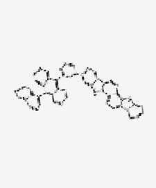 c1cc(-c2ccc3c(c2)sc2c3ccc3c2ccc2c4ccccc4sc23)cc(-c2c3ccccc3c(-c3cccc4ccccc34)c3ccccc23)c1